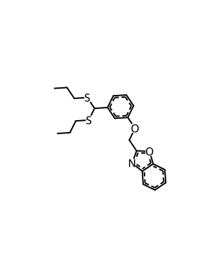 CCCSC(SCCC)c1cccc(OCc2nc3ccccc3o2)c1